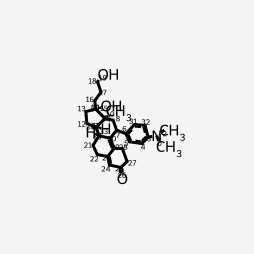 CN(C)c1ccc(C2C[C@]3(C)[C@@H](CC[C@]3(O)CCCO)[C@@H]3CCC4=CC(=O)CCC4=C23)cc1